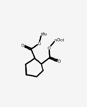 CCCCCCCCOC(=O)C1CCCCC1C(=O)OC(C)(C)C